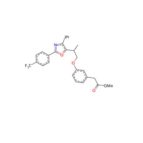 COC(=O)Cc1cccc(OCC(C)c2oc(-c3ccc(C(F)(F)F)cc3)nc2C(C)C)c1